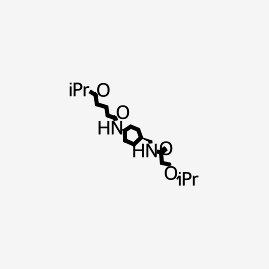 CC(C)OCCC(=O)NC[C@H]1CC[C@H](NC(=O)CCCC(=O)C(C)C)CC1